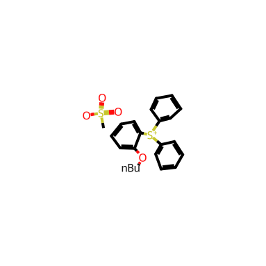 CCCCOc1ccccc1[S+](c1ccccc1)c1ccccc1.CS(=O)(=O)[O-]